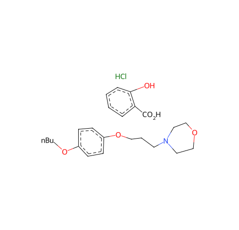 CCCCOc1ccc(OCCCN2CCOCC2)cc1.Cl.O=C(O)c1ccccc1O